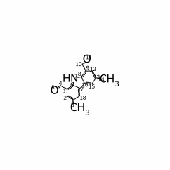 Cc1cc(C=O)c2[nH]c3c(C=O)cc(C)cc3c2c1